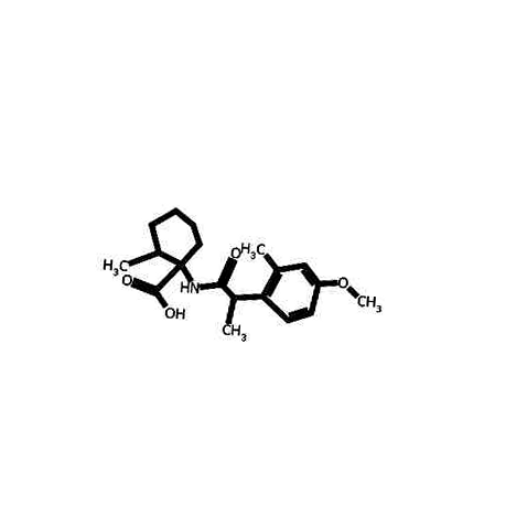 COc1ccc(C(C)C(=O)NC2(C(=O)O)CCCCC2C)c(C)c1